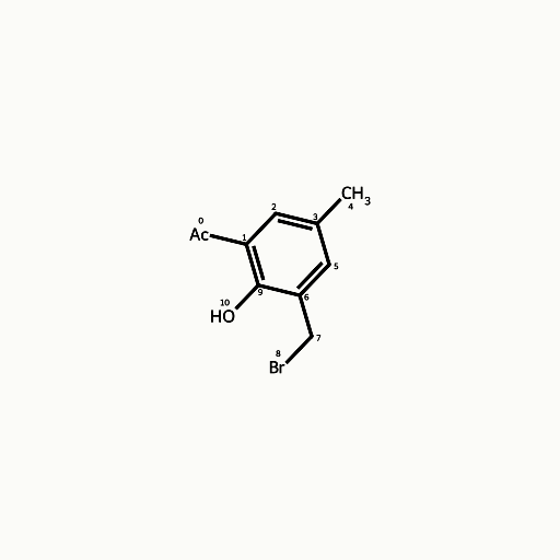 CC(=O)c1cc(C)cc(CBr)c1O